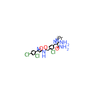 CC(C)n1nc(-c2ccc(CC(=O)Nc3cc(-c4ccc(Cl)cc4Cl)no3)c(Cl)c2)c(C(N)=O)c1N